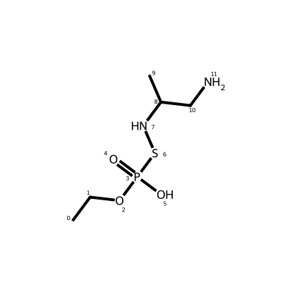 CCOP(=O)(O)SNC(C)CN